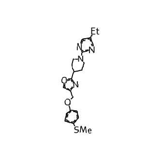 CCc1cnc(N2CCC(c3nc(COc4ccc(SC)cc4)co3)CC2)nc1